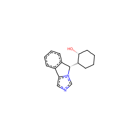 O[C@@H]1CCCCC1[C@H]1c2ccccc2-c2cncn21